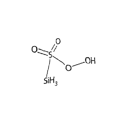 O=S(=O)([SiH3])OO